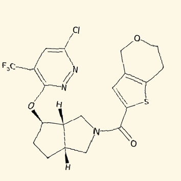 O=C(c1cc2c(s1)CCOC2)N1C[C@@H]2CC[C@@H](Oc3nnc(Cl)cc3C(F)(F)F)[C@@H]2C1